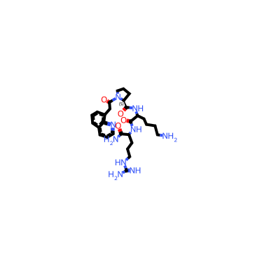 N=C(N)NCCCC(NC(=O)C(CCCCN)NC(=O)[C@@H]1CCCN1C(=O)Cc1cccc2cccnc12)C(N)=O